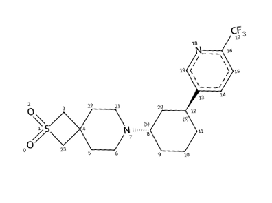 O=S1(=O)CC2(CCN([C@H]3CCC[C@H](c4ccc(C(F)(F)F)nc4)C3)CC2)C1